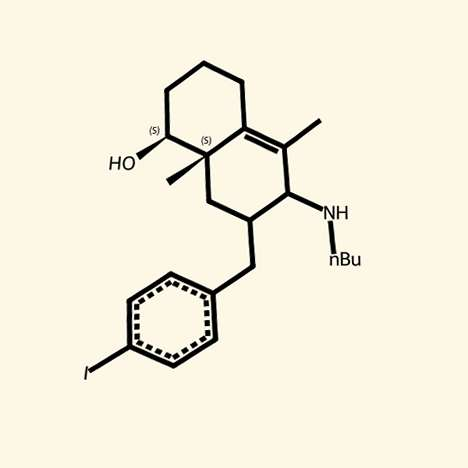 CCCCNC1C(C)=C2CCC[C@H](O)[C@@]2(C)CC1Cc1ccc(I)cc1